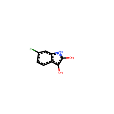 Oc1[nH]c2cc(Cl)ccc2c1O